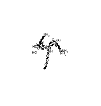 C#CCOCCOCCOCCNc1nc(N2CCN(C(=O)[C@H]([C@@H](C)O)n3cc(CCCCN)nn3)CC2)nc(N2CCN(C(=O)[C@H]([C@@H](C)CC)n3cc(CCCN=C(N)N)nn3)CC2)n1.Cl